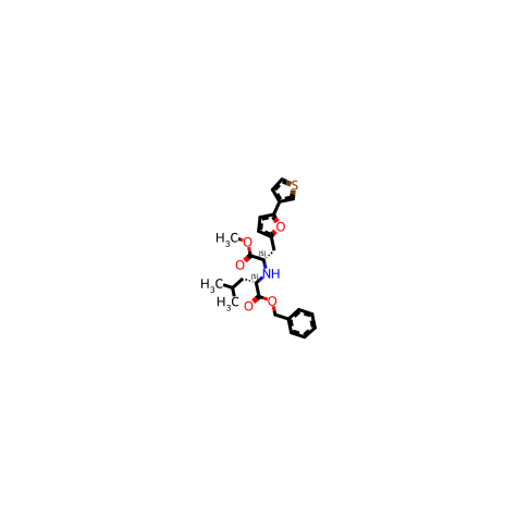 COC(=O)[C@H](Cc1ccc(-c2ccsc2)o1)N[C@@H](CC(C)C)C(=O)OCc1ccccc1